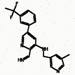 Cc1cncc(CNc2cc(-c3cccc(C(C)(F)F)c3)cnc2C=N)c1